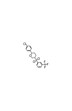 O=S(=O)(c1cccc(C(F)(F)F)c1)C1CCC(c2ccc(Cl)cc2)OC1